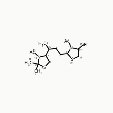 CC(=O)N1C(CCC(C)C2CSC(C)(C)N2C(C)=O)SCC1C(C)C